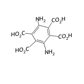 Nc1c(C(=O)O)c(C(=O)O)c(N)c(C(=O)O)c1C(=O)O